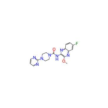 COc1nc2cc(F)ccc2nc1NC(=O)N1CCN(c2ncccn2)CC1